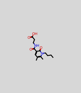 CCCCn1c(C)c(C)cc(C(=O)NCCC(=O)O)c1=O